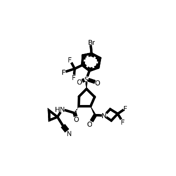 N#CC1(NC(=O)[C@@H]2C[C@@H](S(=O)(=O)c3ccc(Br)cc3C(F)(F)F)C[C@H]2C(=O)N2CC(F)(F)C2)CC1